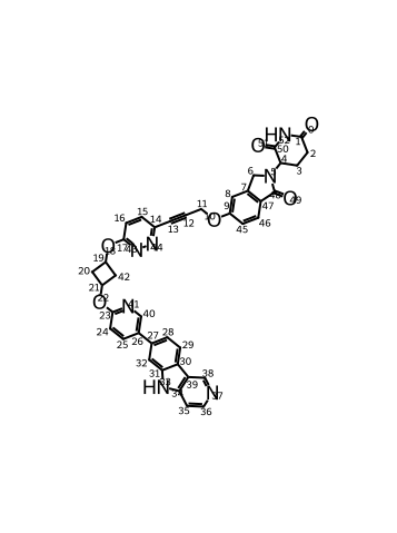 O=C1CCC(N2Cc3cc(OCC#Cc4ccc(OC5CC(Oc6ccc(-c7ccc8c(c7)[nH]c7ccncc78)cn6)C5)nn4)ccc3C2=O)C(=O)N1